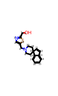 OCc1ncc(CN2CCC3(C=Cc4ccccc43)CC2)s1